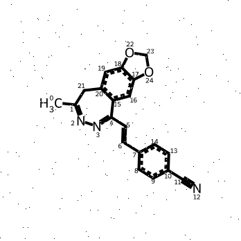 CC1=NN=C(C=Cc2ccc(C#N)cc2)c2cc3c(cc2C1)OCO3